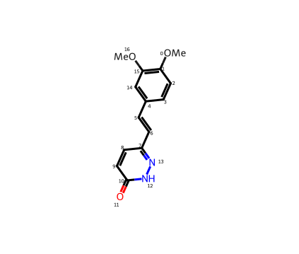 COc1ccc(/C=C/c2ccc(=O)[nH]n2)cc1OC